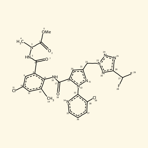 COC(=O)N(C)NC(=O)c1cc(Cl)cc(C)c1NC(=O)c1cc(Cn2nnc(C(F)F)n2)nn1-c1ncccc1Cl